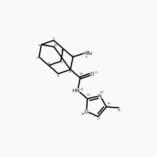 CCCCC1C2CC3CC(C2)CC1(C(=O)Nc1nc(C)co1)C3